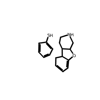 C1=CCC2C(=C1)OC1CNCCC12.Sc1ccccc1